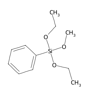 CCO[Si](OC)(OCC)c1ccccc1